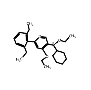 CCOc1cc(-c2c(CC)cccc2CC)ncc1[C@@H](OCC)C1CCCCC1